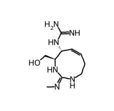 C/N=C1/NCC/C=C\[C@@H](NC(=N)N)[C@H](CO)N1